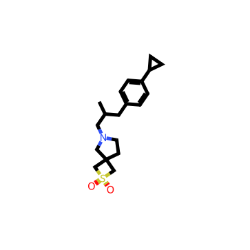 CC(Cc1ccc(C2CC2)cc1)CN1CCC2(C1)CS(=O)(=O)C2